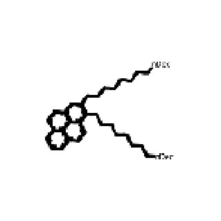 CCCCCCCCCCCCCCCCCCc1cc2ccc3cccc4ccc(c1CCCCCCCCCCCCCCCCCC)c2c34